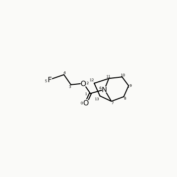 O=C(OCCF)N1C2C[CH]CC1CC2